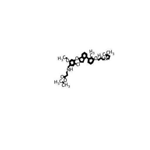 CCOc1cc(O[C@H]2CCc3c(-c4cccc(OCCCN5CCC5(C)C)c4C)cccc32)c(Cl)cc1CNCCC(=O)OC(C)C